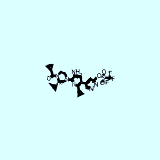 Nc1cc(-c2cnnc(OS(=O)(=O)C(F)(F)F)c2)c(C2CC2)nc1N1CCN(C(=O)C2CC2)[C@H](C2CC2)C1